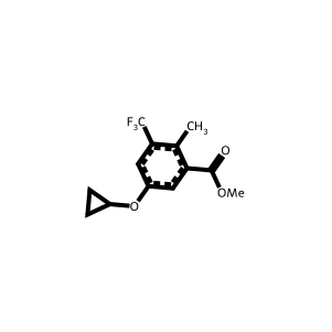 COC(=O)c1cc(OC2CC2)cc(C(F)(F)F)c1C